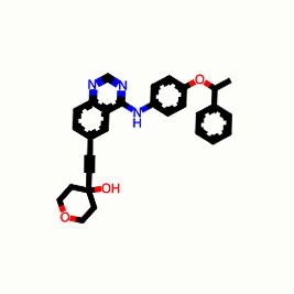 CC(Oc1ccc(Nc2ncnc3ccc(C#CC4(O)CCOCC4)cc23)cc1)c1ccccc1